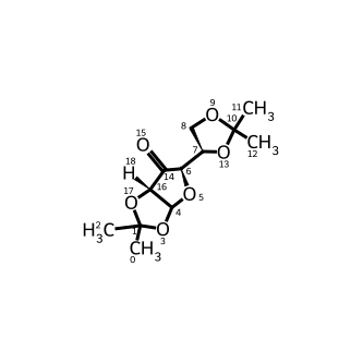 CC1(C)OC2O[C@H]([C@H]3COC(C)(C)O3)C(=O)[C@H]2O1